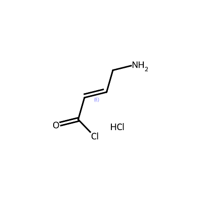 Cl.NC/C=C/C(=O)Cl